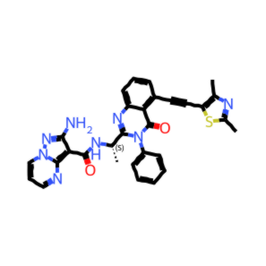 Cc1nc(C)c(C#Cc2cccc3nc([C@H](C)NC(=O)c4c(N)nn5cccnc45)n(-c4ccccc4)c(=O)c23)s1